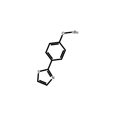 CCCCOc1ccc(-c2nccs2)cc1